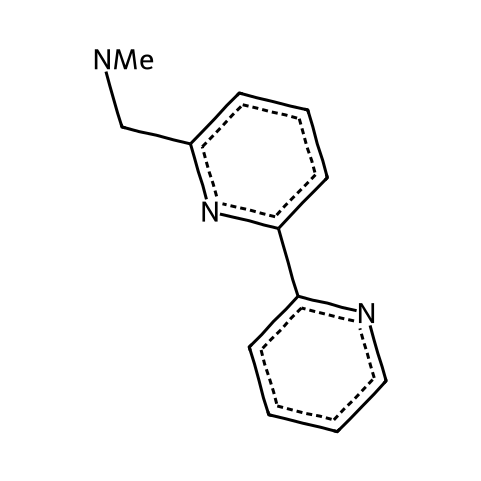 CNCc1cccc(-c2ccccn2)n1